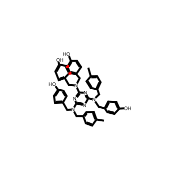 Cc1ccc(CN(Cc2ccc(O)cc2)c2nc(N(Cc3ccc(C)cc3)Cc3ccc(O)cc3)nc(N(Cc3ccc(O)cc3)Cc3ccc(O)cc3)n2)cc1